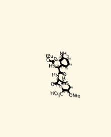 COC1=C(C(=O)O)N2C(=O)[C@@H](NC(=O)C(NC(=O)OC(C)(C)C)c3cccc(N)c3)[C@H]2SC1